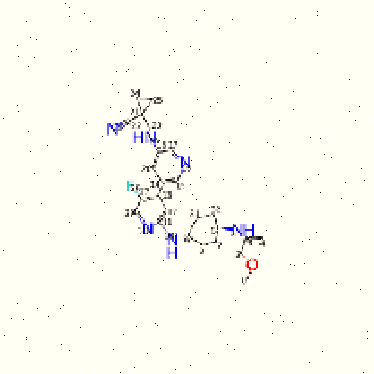 COC[C@H](C)N[C@H]1CC[C@H](Nc2cc(-c3cncc(NCC4(C#N)CC4)c3)c(F)cn2)CC1